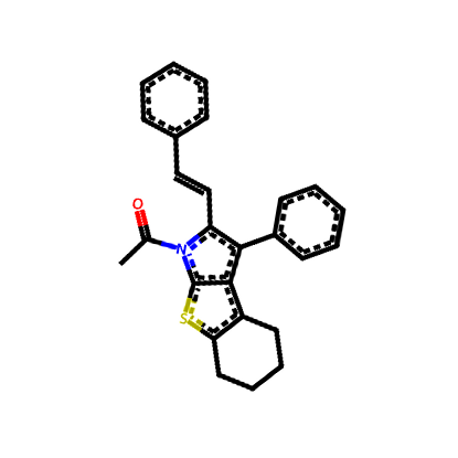 CC(=O)n1c(C=Cc2ccccc2)c(-c2ccccc2)c2c3c(sc21)CCCC3